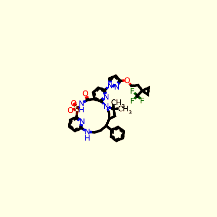 CC1(C)CC2CN1c1nc(-n3ccc(OCCC4(C(F)(F)F)CC4)n3)ccc1C(=O)NS(=O)(=O)c1cccc(n1)NCCC2c1ccccc1